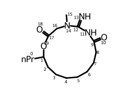 CCCC1CCCCCCCC(=O)NC(=N)N(C)CC(=O)O1